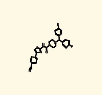 N#Cc1ccc(-c2csc(NC(=O)N3CCN(C(c4ccc(F)cc4)c4ccc(F)cc4)CC3)n2)cc1